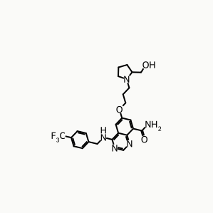 NC(=O)c1cc(OCCCN2CCCC2CO)cc2c(NCc3ccc(C(F)(F)F)cc3)ncnc12